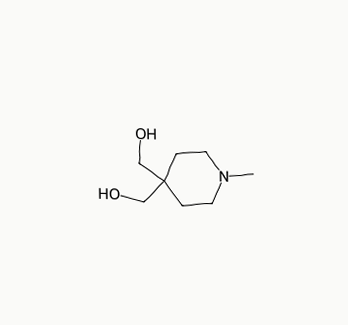 CN1CCC(CO)(CO)CC1